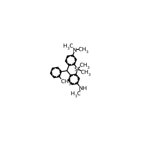 CNc1ccc2c(c1)[Si](C)(C)c1cc(N(C)C)ccc1C2c1ccccc1C